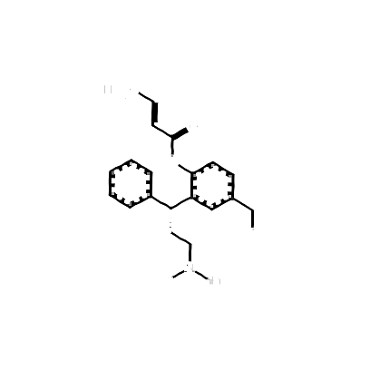 CC(C)N(CC[C@H](c1ccccc1)c1cc(CO)ccc1OC(=O)/C=C/C(=O)O)C(C)C